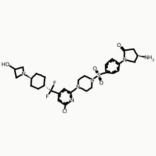 N[C@@H]1CC(=O)N(c2ccc(S(=O)(=O)N3CCN(c4cc(C(F)(F)[C@H]5CC[C@H](N6CC(O)C6)CC5)cc(Cl)n4)CC3)cc2)C1